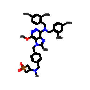 CCCCc1nc2c(N(Cc3ccc(OC)cc3OC)Cc3ccc(OC)cc3OC)nnc(OC(C)C)c2n1Cc1ccc(CN(C(C)=O)C2CS(=O)(=O)C2)cc1